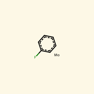 Fc1ccccc1.[Mo]